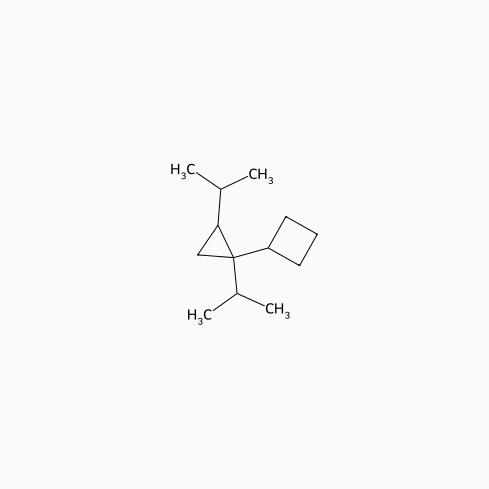 CC(C)C1CC1(C(C)C)C1CCC1